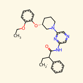 [CH2]CC(C(=O)Nc1cncc(N2CCC[C@@H](Oc3ccccc3OCC)C2)n1)c1ccccc1